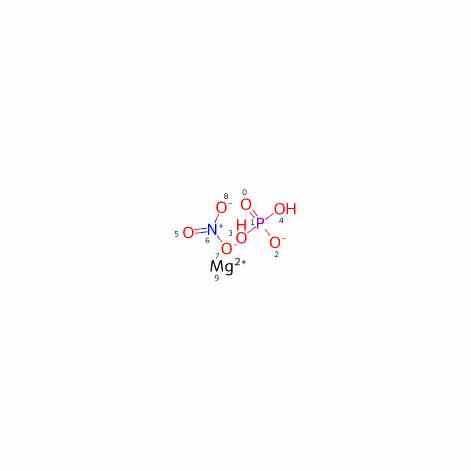 O=P([O-])(O)O.O=[N+]([O-])[O-].[Mg+2]